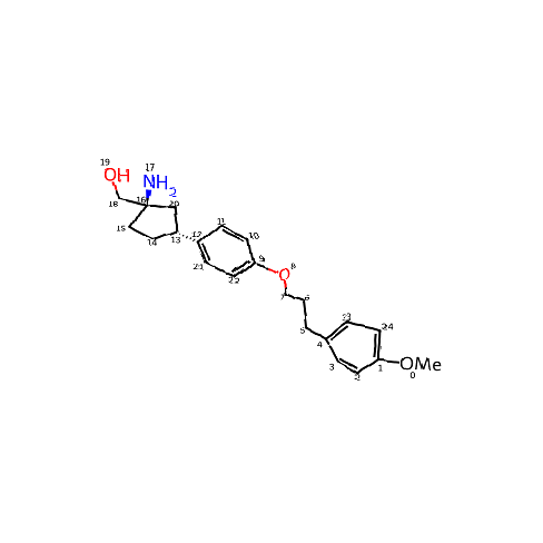 COc1ccc(CCCOc2ccc([C@@H]3CC[C@](N)(CO)C3)cc2)cc1